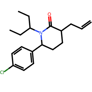 C=CCC1CCC(c2ccc(Cl)cc2)N(C(CC)CC)C1=O